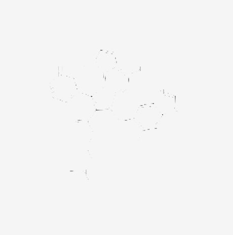 CN(C)CCOC(=O)c1c(-c2ccc[nH]c2=O)c2c3occc3c(F)cc2n1Cc1cc2nc[nH]c2cc1F